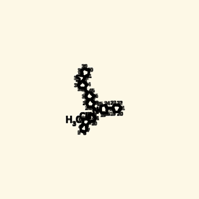 CC1(C)c2ccccc2-c2ccc(N(c3ccc(-c4ccccc4)cc3)c3ccc4cc(-c5ccc6sc7ccccc7c6c5)ccc4c3)cc21